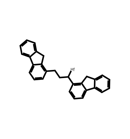 [Hf][CH](CCc1cccc2c1Cc1ccccc1-2)c1cccc2c1Cc1ccccc1-2